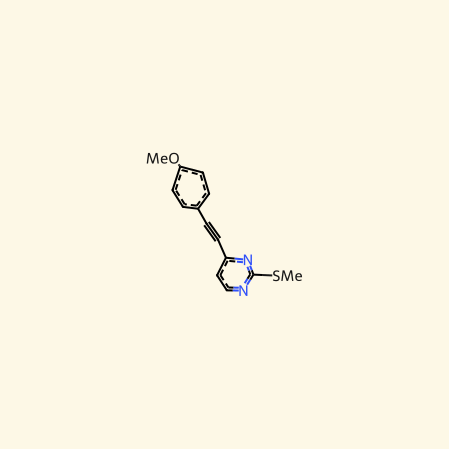 COc1ccc(C#Cc2ccnc(SC)n2)cc1